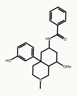 COC1CC(NC(=O)c2ccccc2)CC2(c3cccc(O)c3)CCN(C)CC12